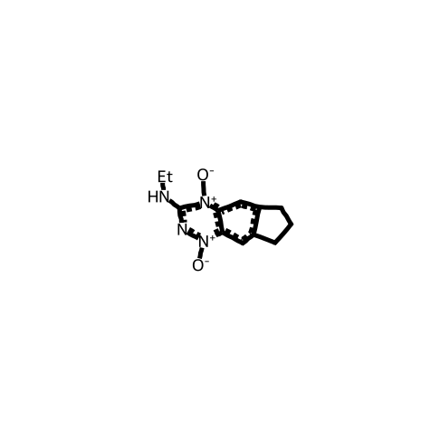 CCNc1n[n+]([O-])c2cc3c(cc2[n+]1[O-])CCC3